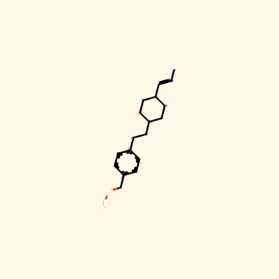 CC=CC1CCC(CCc2ccc(COCC)cc2)CC1